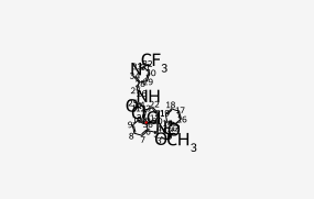 CS(=O)(=O)[N+](Cc1cccc(Cl)c1Cl)(c1ccccc1)c1ccc(C(=O)NCc2ccc(C(F)(F)F)nc2)cc1